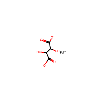 O=C([O-])C(O)C(O)C(=O)[O-].[Pd+2]